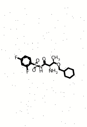 C[C@@H](OCC1CCCCC1)[C@H](N)C(=O)NS(=O)(=O)c1ccc(F)cc1F